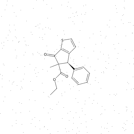 CCOC(=O)C1(C)C(=O)c2sccc2[C@H]1c1ccccc1